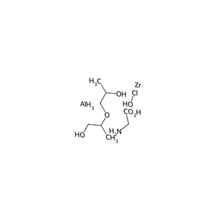 CC(O)COC(C)CO.NCC(=O)O.OCl.[AlH3].[Zr]